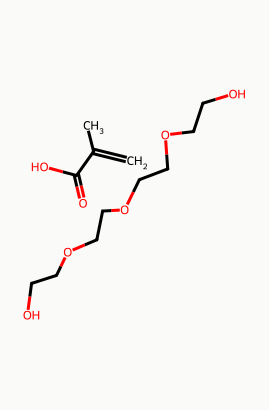 C=C(C)C(=O)O.OCCOCCOCCOCCO